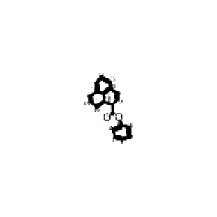 O=C(Oc1ccccc1)C1C=Cc2cccc3cccc1c23